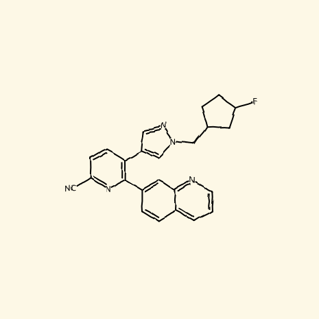 N#Cc1ccc(-c2cnn(CC3CCC(F)C3)c2)c(-c2ccc3cccnc3c2)n1